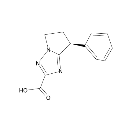 O=C(O)c1nc2n(n1)CC[C@H]2c1ccccc1